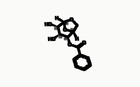 O=C(O[C@H]1[C@H](O)[C@H](O)[C@@H]2OC[C@H]1O2)c1ccccc1